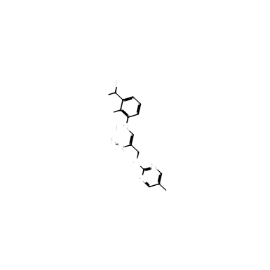 Cc1cnc(OC/C(=C/Nc2cccc(C(F)F)c2F)N=N)nc1